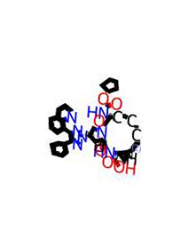 O=C(N[C@H]1CCCCC/C=C\[C@@H]2C[C@@]2(C(=O)O)NC(=O)[C@@H]2C[C@@H](n3nc(-c4ccccc4)c(-c4cccc5cccnc45)n3)CN2C1=O)OC1CCCC1